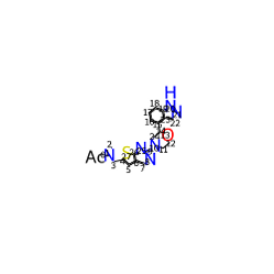 CC(=O)N(C)Cc1cc2cnc(N3CCOC(c4cccc5[nH]ncc45)C3)nc2s1